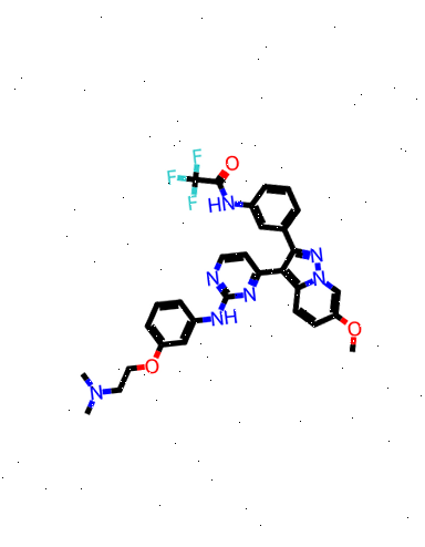 COc1ccc2c(-c3ccnc(Nc4cccc(OCCN(C)C)c4)n3)c(-c3cccc(NC(=O)C(F)(F)F)c3)nn2c1